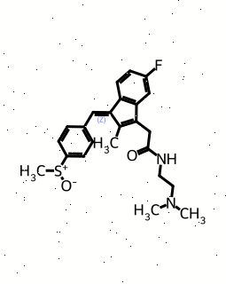 CC1=C(CC(=O)NCCN(C)C)c2cc(F)ccc2/C1=C/c1ccc([S+](C)[O-])cc1